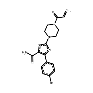 C=CC(=O)N1CCN(c2nc(-c3ccc(Br)cc3)c(C(N)=O)s2)CC1